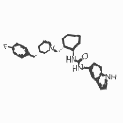 O=C(Nc1ccc2[nH]ccc2c1)N[C@@H]1CCCC[C@H]1CN1CCC[C@@H](Cc2ccc(F)cc2)C1